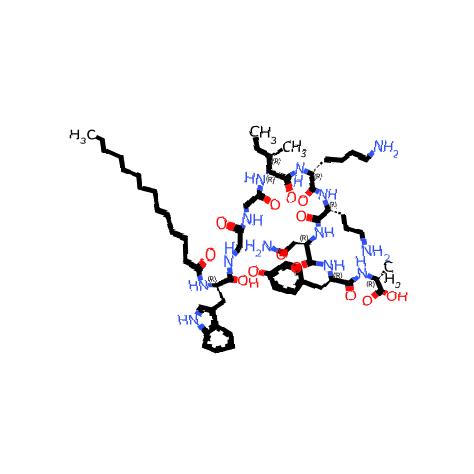 CCCCCCCCCCCCCC(=O)N[C@H](Cc1c[nH]c2ccccc12)C(=O)NCC(=O)NCC(=O)N[C@@H](C(=O)N[C@H](CCCCN)C(=O)N[C@H](CCCN)C(=O)N[C@H](CC(N)=O)C(=O)N[C@H](Cc1ccc(O)cc1)C(=O)N[C@H](C)C(=O)O)[C@H](C)CC